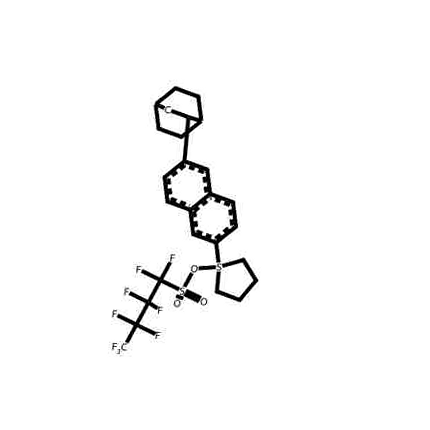 O=S(=O)(OS1(c2ccc3cc(C4CC5CCC4CC5)ccc3c2)CCCC1)C(F)(F)C(F)(F)C(F)(F)C(F)(F)F